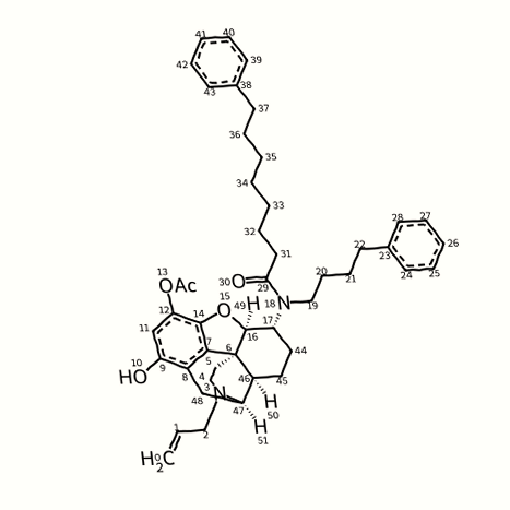 C=CCN1CC[C@]23c4c5c(O)cc(OC(C)=O)c4O[C@H]2[C@H](N(CCCCc2ccccc2)C(=O)CCCCCCCc2ccccc2)CC[C@H]3[C@H]1C5